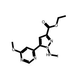 CCOC(=O)c1cc(-c2cc(OC)ncn2)n(PI)n1